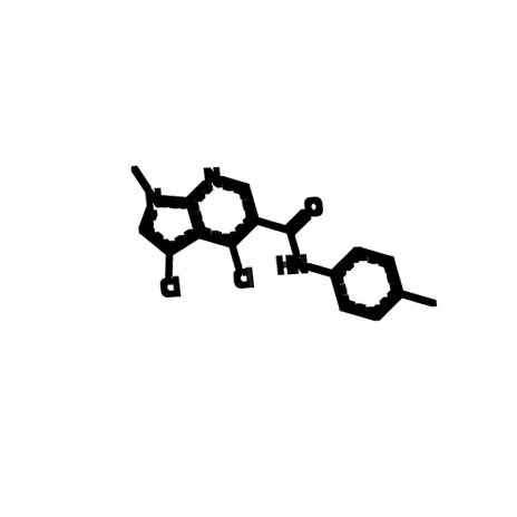 Cc1ccc(NC(=O)c2cnc3c(c(Cl)cn3C)c2Cl)cc1